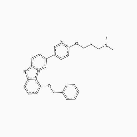 CN(C)CCCOc1ccc(-c2ccc3nc4cccc(OCc5ccccc5)c4n3c2)cn1